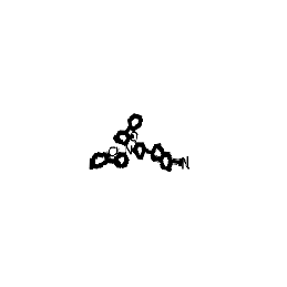 N#Cc1ccc2cc(-c3ccc(N(c4cccc5c4oc4ccccc45)c4cccc5c4oc4ccccc45)cc3)ccc2c1